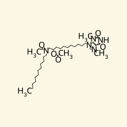 CCCCCCCCCCCCN(CC(CCCCCCCCCN1CN(C)c2c1n(C)c(=O)[nH]c2=O)OC(C)=O)C(C)=O